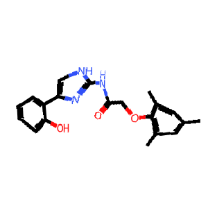 Cc1cc(C)c(OCC(=O)Nc2nc(-c3ccccc3O)c[nH]2)c(C)c1